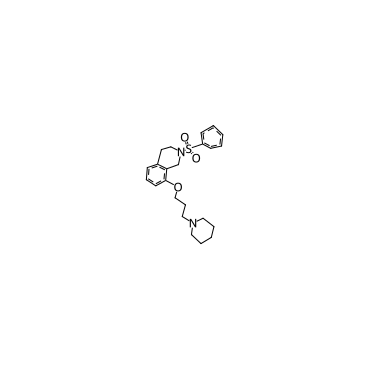 O=S(=O)(c1ccccc1)N1CCc2cccc(OCCCN3CCCCC3)c2C1